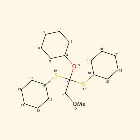 COCC(OC1CCCCC1)(SC1CCCCC1)SC1CCCCC1